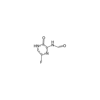 O=CNc1nc(F)c[nH]c1=O